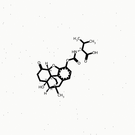 CC(C)[C@@H](NC(=O)Oc1ccc2c3c1O[C@H]1C(=O)CC[C@@]4(O)[C@@H](C2)N(C)CC[C@]314)C(=O)O